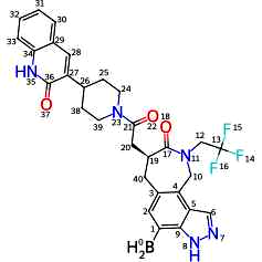 Bc1cc2c(c3cn[nH]c13)CN(CC(F)(F)F)C(=O)[C@H](CC(=O)N1CCC(c3cc4ccccc4[nH]c3=O)CC1)C2